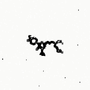 C=CCN(C)CCCc1cn(C2CC2)c(=O)c(N2CCS(=O)(=O)CC2)n1